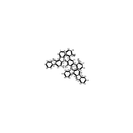 CCc1c(-n2c3ccccc3c3c4sc5ccccc5c4ccc32)c(-c2ccccc2F)cc(-c2ccccc2F)c1-n1c2ccccc2c2c3sc4ccccc4c3ccc21